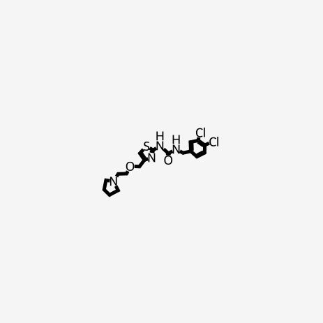 O=C(NCc1ccc(Cl)c(Cl)c1)Nc1nc(COCCN2CCCC2)cs1